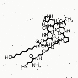 CC(C)C[C@H](NC(=O)C1CCCN1C(=O)CCOCCOCCNC(=O)[C@@H](N)CS)C(=O)N[C@@H](Cc1cnc[nH]1)C(=O)N[C@@H](C)C(=O)N[C@H](C(N)=O)[C@@H](C)OP(=O)(O)OCCCCCCCCO